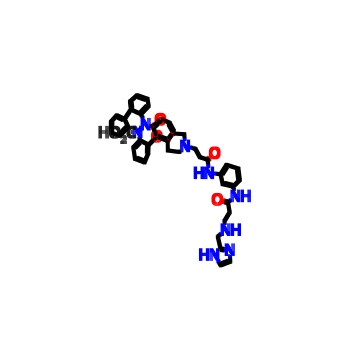 O=C(CCNCc1ncc[nH]1)Nc1cccc(NC(=O)CCN2CCC(OC(=O)N(c3ccccc3-c3ccccc3)N(C(=O)O)c3ccccc3-c3ccccc3)CC2)c1